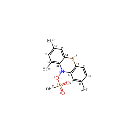 CCCS(=O)(=O)ON1c2cc(CC)ccc2Sc2cc(CC)cc(CC)c21